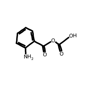 Nc1ccccc1C(=O)OC(=O)O